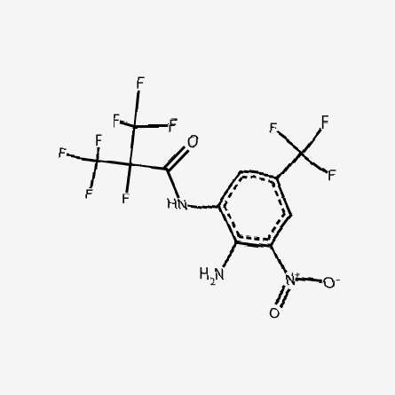 Nc1c(NC(=O)C(F)(C(F)(F)F)C(F)(F)F)cc(C(F)(F)F)cc1[N+](=O)[O-]